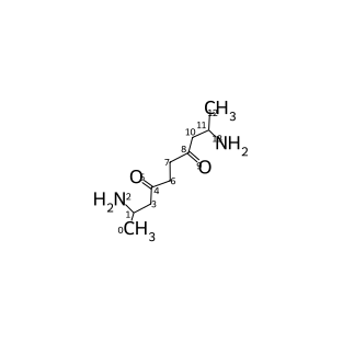 CC(N)CC(=O)CCC(=O)CC(C)N